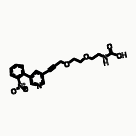 O=C(O)NCCOCCOCC#Cc1cncc(-c2ccccc2[N+](=O)[O-])c1